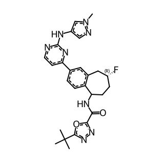 Cn1cc(Nc2nccc(-c3ccc4c(c3)C[C@H](F)CCC4NC(=O)c3nnc(C(C)(C)C)o3)n2)cn1